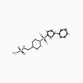 CS(=O)(=O)NCC1CCN(S(=O)(=O)c2ccc(-c3ccccc3)s2)CC1